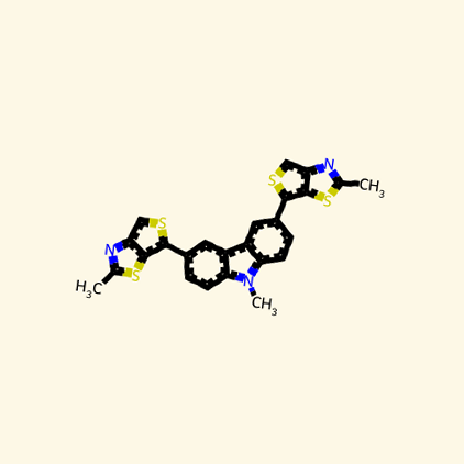 Cc1nc2csc(-c3ccc4c(c3)c3cc(-c5scc6nc(C)sc56)ccc3n4C)c2s1